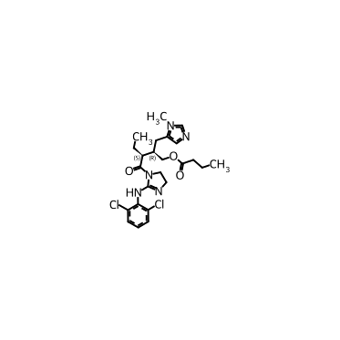 CCCC(=O)OC[C@H](Cc1cncn1C)[C@H](CC)C(=O)N1CCN=C1Nc1c(Cl)cccc1Cl